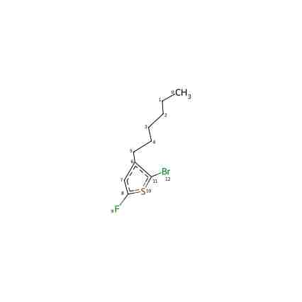 CCCCCCc1cc(F)sc1Br